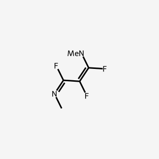 C/N=C(F)\C(F)=C(\F)NC